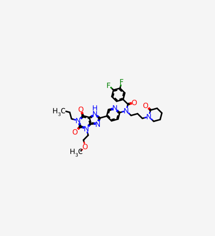 CCCn1c(=O)c2[nH]c(-c3ccc(N(CCCN4CCCCC4=O)C(=O)c4ccc(F)c(F)c4)nc3)nc2n(CCOC)c1=O